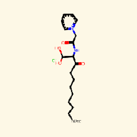 CCCCCCCCCCCCCCCCCC(=O)C(NC(=O)C[n+]1ccccc1)C(O)O.[Cl-]